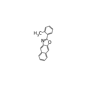 Cc1ccccc1-c1nc2cc3ccccc3cc2o1